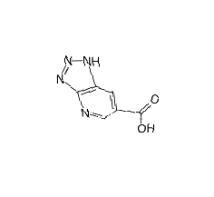 O=C(O)c1cnc2nn[nH]c2c1